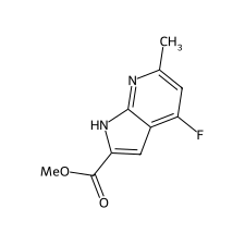 COC(=O)c1cc2c(F)cc(C)nc2[nH]1